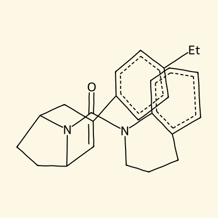 CCc1ccc(C2=CC3CCC(C2)N3C(=O)N2CCCc3ccccc32)cc1